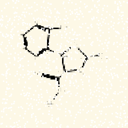 COC(=O)[C@@H]1O[C@H](C)O[C@@H]1c1ccccc1F